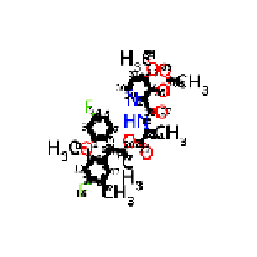 COc1cc(F)ccc1[C@@H](c1ccc(F)c(C)c1)[C@H](C)OC(=O)[C@H](C)NC(=O)c1nccc(OC)c1OC(C)=O